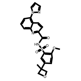 COc1ccc(C2(C)COC2)cc1S(=O)(=O)NC(=O)c1ccc2c(-n3cccn3)cccc2n1